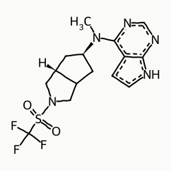 CN(c1ncnc2[nH]ccc12)[C@H]1CC2CN(S(=O)(=O)C(F)(F)F)C[C@@H]2C1